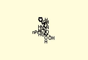 CCCNSc1nc2c(n1[C@@H]1O[C@H](CO)[C@@H](O)[C@H]1O)N=CNC2(O)Cc1ccccc1